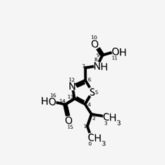 CCC(C)c1sc(CNC(=O)O)nc1C(=O)O